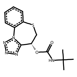 CC(C)(C)NC(=O)O[C@H]1CSc2ccccc2-n2nnnc21